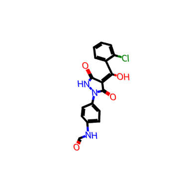 O=CNc1ccc(N2NC(=O)/C(=C(/O)c3ccccc3Cl)C2=O)cc1